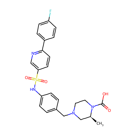 C[C@H]1CN(Cc2ccc(NS(=O)(=O)c3ccc(-c4ccc(F)cc4)nc3)cc2)CCN1C(=O)O